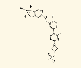 CC(=O)[C@H]1[C@@H]2Cc3cc(OCc4cc(-c5ccc(N6CC(CS(C)(=O)=O)C6)nc5C)ccc4F)ncc3[C@@H]21